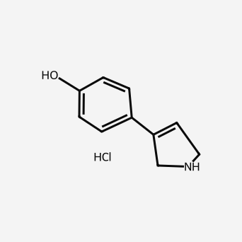 Cl.Oc1ccc(C2=CCNC2)cc1